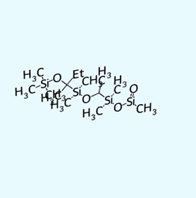 CCC(C)(O[Si](C)(C)C)[Si](C)(C)OC(C)[Si](C)(C)O[Si](C)=O